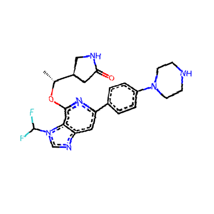 C[C@@H](Oc1nc(-c2ccc(N3CCNCC3)cc2)cc2ncn(C(F)F)c12)[C@H]1CNC(=O)C1